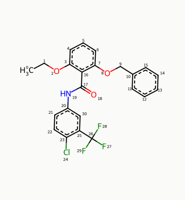 CCOc1cccc(OCc2ccccc2)c1C(=O)Nc1ccc(Cl)c(C(F)(F)F)c1